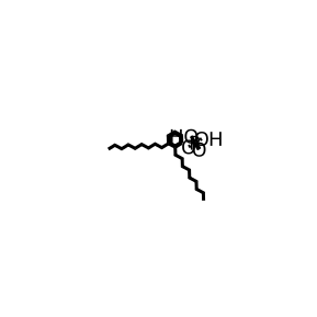 CCCCCCCCCc1cccc(OP(=O)(O)O)c1CCCCCCCCC